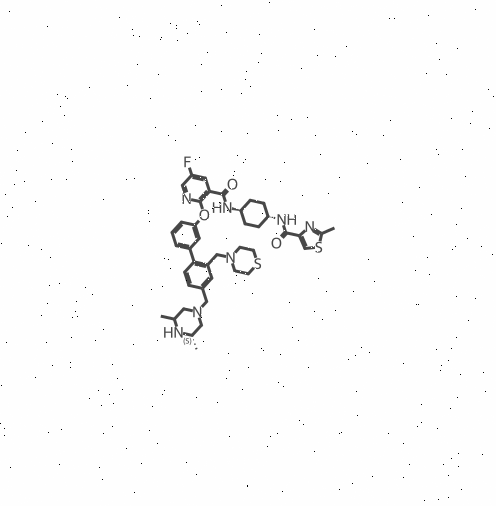 Cc1nc(C(=O)N[C@H]2CC[C@H](NC(=O)c3cc(F)cnc3Oc3cccc(-c4ccc(CN5CC(C)N[C@@H](C)C5)cc4CN4CCSCC4)c3)CC2)cs1